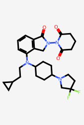 O=C1c2cccc(N(CCC3CC3)C3CCC(N4CCC(F)(F)C4)CC3)c2CN1N1C(=O)CCCC1=O